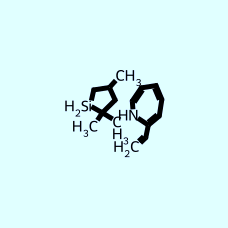 C=CC1=CC=CC=CN1.CC1C[SiH2]C(C)(C)C1